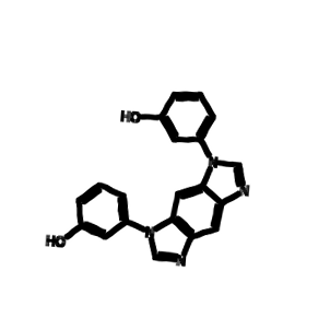 Oc1cccc(-n2cnc3cc4ncn(-c5cccc(O)c5)c4cc32)c1